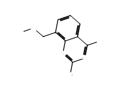 COCc1cccc2c(O)nc(O)nc12